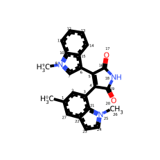 Cc1cc(C2=C(c3cn(C)c4ccccc34)C(=O)NC2=O)c2c(ccn2C)c1